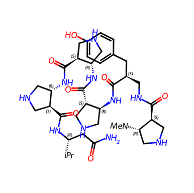 CN[C@H]1CNC[C@@H]1C(=O)NC[C@H](Cc1ccc(O)cc1)C(=O)N[C@H]1CNC[C@@H]1C(=O)N[C@H]1CNC[C@@H]1C(=O)N[C@H]1CNC[C@@H]1C(=O)N[C@H](CC(N)=O)C(C)C